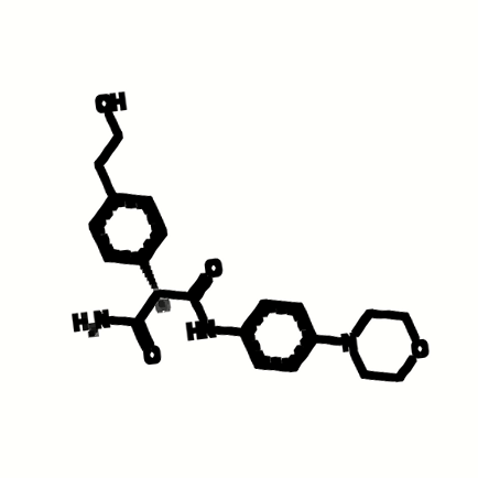 NC(=O)[C@@H](C(=O)Nc1ccc(N2CCOCC2)cc1)c1ccc(CCO)cc1